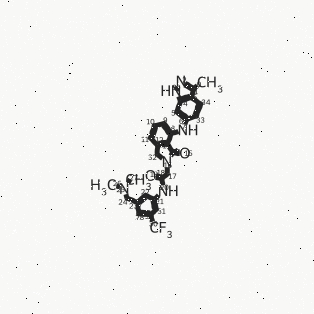 Cc1n[nH]c2cc(Nc3cccc4c3C(=O)N(CC(=O)Nc3cc(CN(C)C)cc(C(F)(F)F)c3)C4)ccc12